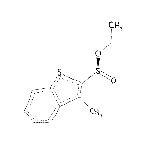 CCO[S@@](=O)c1sc2ccccc2c1C